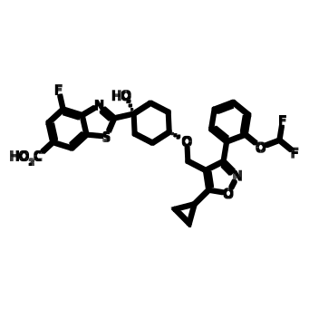 O=C(O)c1cc(F)c2nc([C@]3(O)CC[C@@H](OCc4c(-c5ccccc5OC(F)F)noc4C4CC4)CC3)sc2c1